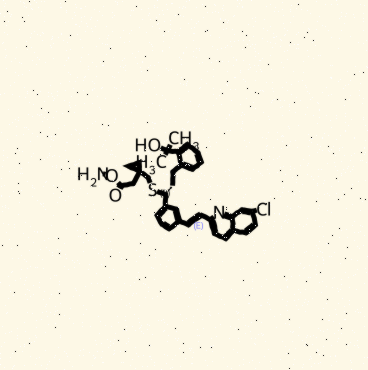 CC(C)(O)c1ccccc1CC[C@@H](SCC1(CC(=O)ON)CC1)c1cccc(/C=C/c2ccc3ccc(Cl)cc3n2)c1